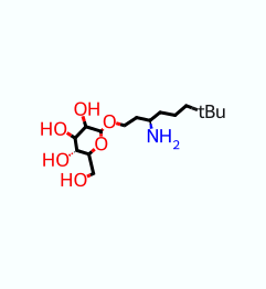 CC(C)(C)CCC[C@@H](N)CCO[C@H]1OC(CO)[C@H](O)C(O)C1O